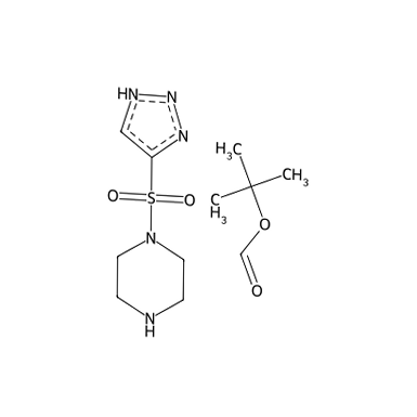 CC(C)(C)OC=O.O=S(=O)(c1c[nH]nn1)N1CCNCC1